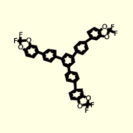 FC1(F)Oc2ccc(-c3ccc(-c4cc(-c5ccc(-c6ccc7c(c6)OC(F)(F)O7)cc5)cc(-c5ccc(-c6ccc7c(c6)OC(F)(F)O7)cc5)c4)cc3)cc2O1